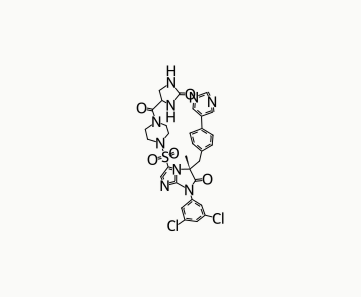 C[C@@]1(Cc2ccc(-c3cncnc3)cc2)C(=O)N(c2cc(Cl)cc(Cl)c2)c2ncc(S(=O)(=O)N3CCN(C(=O)C4CNC(=O)N4)CC3)n21